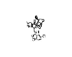 CC(C)C[C@H](NC(=O)CNC(=O)c1cc(Cl)ccc1Cl)B1OC(=O)[C@@H]2COC[C@@H](C(=O)O1)N2C